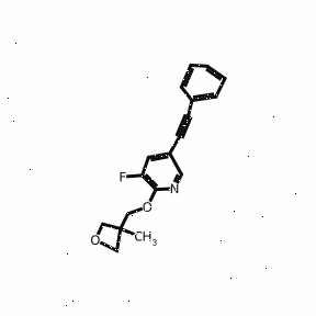 CC1(COc2ncc(C#Cc3ccccc3)cc2F)COC1